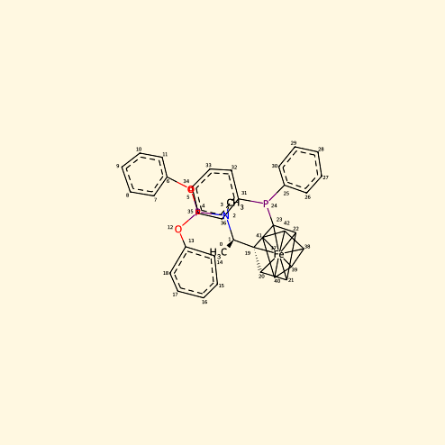 C[C@@H](N(C)P(Oc1ccccc1)Oc1ccccc1)[C@@]12[CH]3[CH]4[CH]5[C]1(P(c1ccccc1)c1ccccc1)[Fe]45321678[CH]2[CH]1[CH]6[CH]7[CH]28